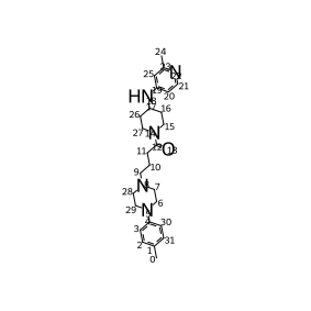 Cc1ccc(N2CCN(CCCC(=O)N3CCC(Nc4ccnc(C)c4)CC3)CC2)cc1